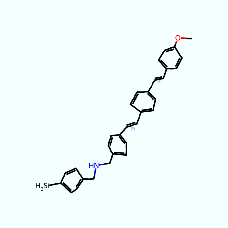 COc1ccc(/C=C/c2ccc(/C=C/c3ccc(CNCc4ccc([SiH3])cc4)cc3)cc2)cc1